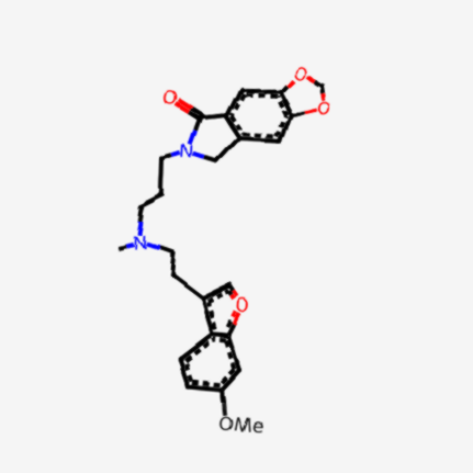 COc1ccc2c(CCN(C)CCCN3Cc4cc5c(cc4C3=O)OCO5)coc2c1